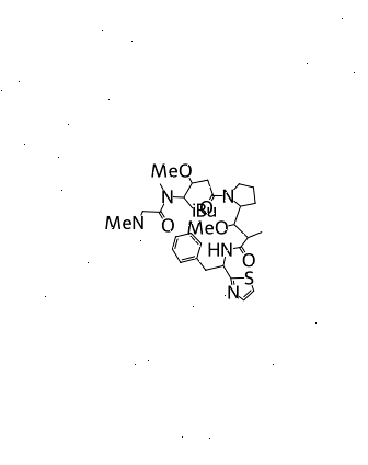 CCC(C)C(C(CC(=O)N1CCCC1C(OC)C(C)C(=O)NC(Cc1ccccc1)c1nccs1)OC)N(C)C(=O)CNC